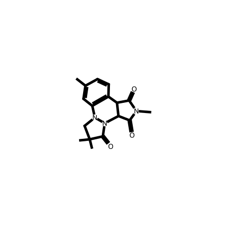 Cc1ccc2c(c1)N1CC(C)(C)C(=O)N1C1C(=O)N(C)C(=O)C21